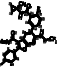 CNC(=O)c1c(-c2ccc(C)cc2)oc2nc(NCC(F)(F)F)c(-c3ccc(F)c(C(=O)NC4(C#N)CC4)c3)cc12